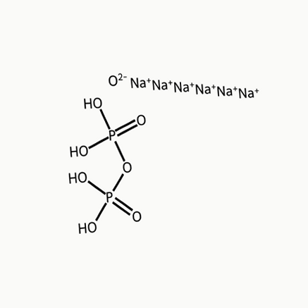 O=P(O)(O)OP(=O)(O)O.[Na+].[Na+].[Na+].[Na+].[Na+].[Na+].[O-2]